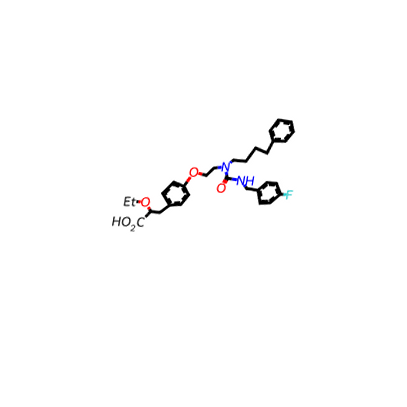 CCOC(Cc1ccc(OCCN(CCCCc2ccccc2)C(=O)NCc2ccc(F)cc2)cc1)C(=O)O